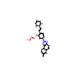 Cc1ccc2c(ccc3nn(-c4ccc(/C=C/c5ccccc5)c(SOOO)c4)nc32)c1